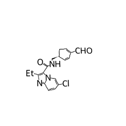 CCc1nc2ccc(Cl)cn2c1C(=O)NC[C@@H]1C=CC(C=O)=CC1